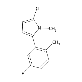 Cc1ccc(F)cc1-c1ccc(Cl)n1C